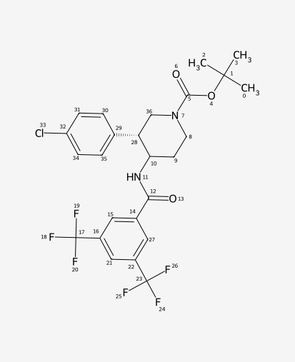 CC(C)(C)OC(=O)N1CCC(NC(=O)c2cc(C(F)(F)F)cc(C(F)(F)F)c2)[C@H](c2ccc(Cl)cc2)C1